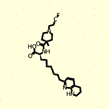 CC1(C(=O)N[C@@H](CCCCCCCc2ccc3c(n2)NCCC3)C(=O)O)CCN(CCCF)CC1